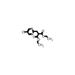 CCOC(=O)C(Cc1ncc(Cl)cn1)C(=O)OCC